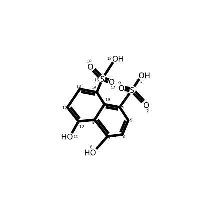 O=S(=O)(O)c1ccc(O)c2c(O)ccc(S(=O)(=O)O)c12